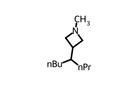 CCCCC(CCC)C1CN(C)C1